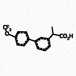 CC(C(=O)O)c1cccc(-c2ccc(OC(F)(F)F)cc2)c1